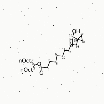 CCCCCCCCC(CCCCCCCC)OC(=O)CCCCCCCNCC1(CO)CC1